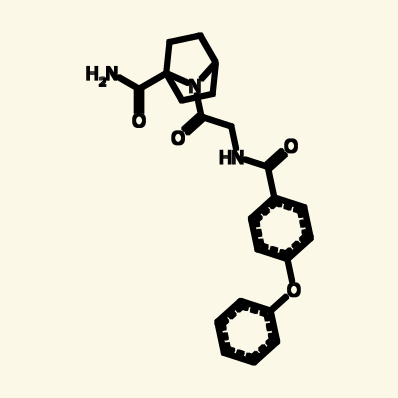 NC(=O)C12CCC(CC1)N2C(=O)CNC(=O)c1ccc(Oc2ccccc2)cc1